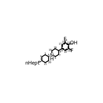 CCCCCCC[C@H]1CC[C@H]([SiH]2CCC(c3cc(F)c(O)c(F)c3)CC2)CC1